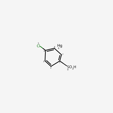 O=S(=O)(O)c1ccc(Cl)cc1.[Hg]